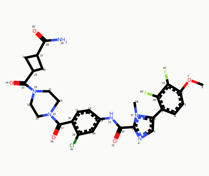 COc1ccc(-c2cnc(C(=O)Nc3ccc(C(=O)N4CCN(C(=O)C5CC(C(N)=O)C5)CC4)c(Cl)c3)n2C)c(F)c1F